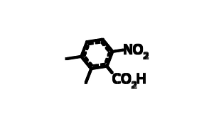 Cc1ccc([N+](=O)[O-])c(C(=O)O)c1C